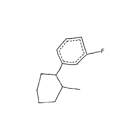 CC1CCCCC1c1[c]c(F)ccc1